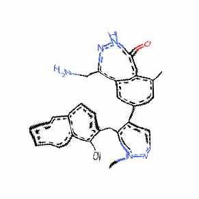 Cc1cc(-c2cnn(C)c2-c2ccc3ccccc3c2C#N)cc2c(CN)n[nH]c(=O)c12